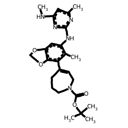 CNc1cc(C)nc(Nc2cc3c(c(C4=CCN(C(=O)OC(C)(C)C)CCC4)c2C)OCO3)n1